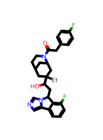 CCC1(C(O)CC2c3c(F)cccc3-c3cncn32)CC2CCN(C(=O)Cc3ccc(F)cc3)C(C2)C1